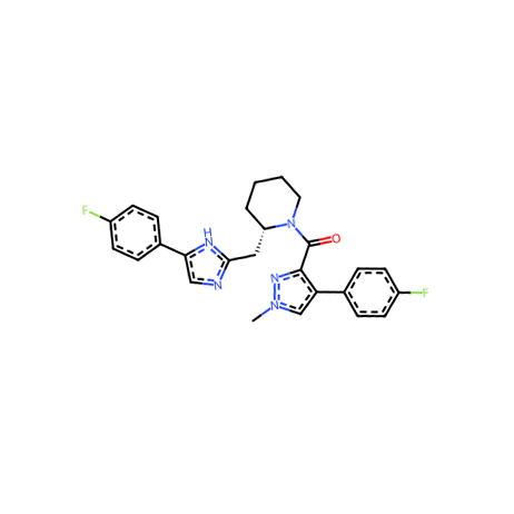 Cn1cc(-c2ccc(F)cc2)c(C(=O)N2CCCC[C@H]2Cc2ncc(-c3ccc(F)cc3)[nH]2)n1